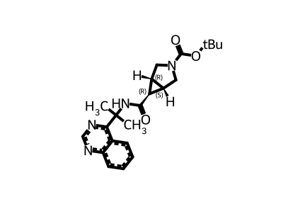 CC(C)(C)OC(=O)N1C[C@@H]2[C@H](C1)[C@H]2C(=O)NC(C)(C)c1ncnc2ccccc12